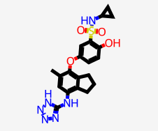 Cc1cc(Nc2nnn[nH]2)c2c(c1Oc1ccc(O)c(S(=O)(=O)NC3CC3)c1)CCC2